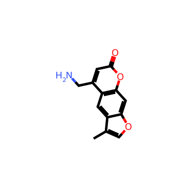 Cc1coc2cc3oc(=O)cc(CN)c3cc12